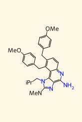 CNc1nc2c(N)nc3ccc(Cc4ccc(OC)cc4)c(Cc4ccc(OC)cc4)c3c2n1CC(C)C